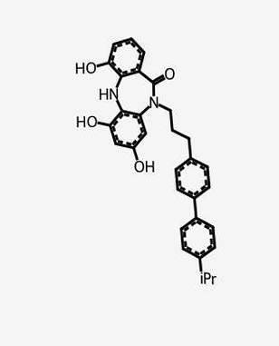 CC(C)c1ccc(-c2ccc(CCCN3C(=O)c4cccc(O)c4Nc4c(O)cc(O)cc43)cc2)cc1